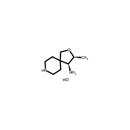 C[C@@H]1OCC2(CCNCC2)[C@@H]1N.Cl